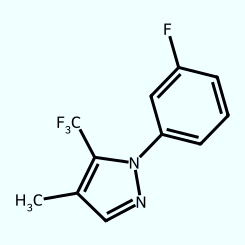 Cc1cnn(-c2cccc(F)c2)c1C(F)(F)F